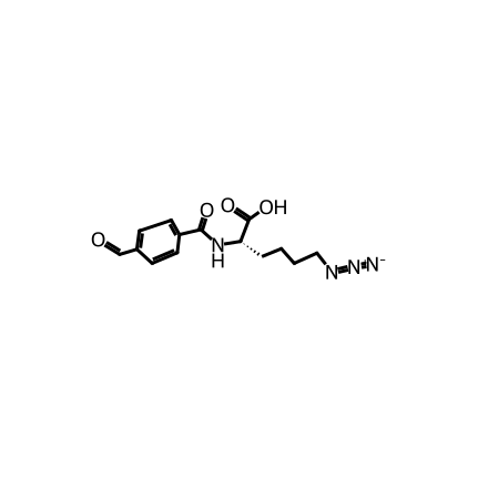 [N-]=[N+]=NCCCC[C@H](NC(=O)c1ccc(C=O)cc1)C(=O)O